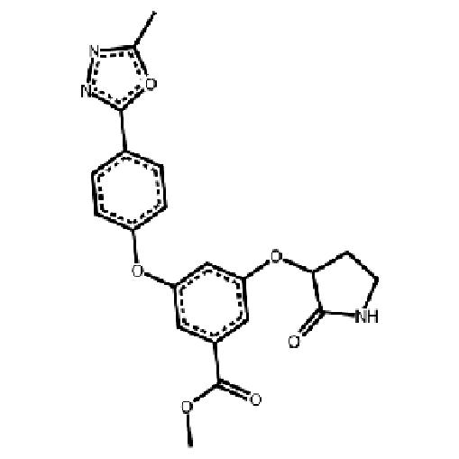 COC(=O)c1cc(Oc2ccc(-c3nnc(C)o3)cc2)cc(OC2CCNC2=O)c1